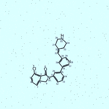 O=C1c2c(Cl)cccc2CN1c1cccc(-c2cncc(C=C3CCNCC3)c2)c1